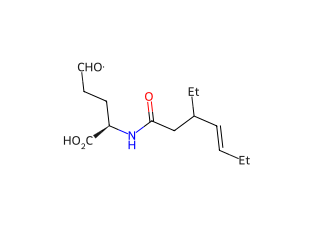 CC/C=C/C(CC)CC(=O)N[C@H](CC[C]=O)C(=O)O